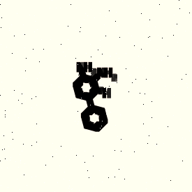 [2H]c1c(-c2ccccc2)ccc(N)c1N